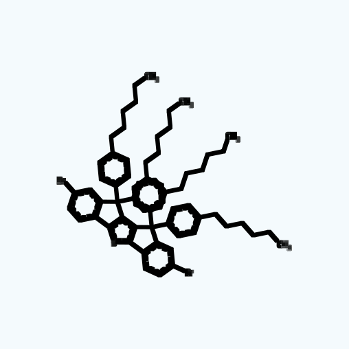 CCCCCCc1ccc(C2(c3ccc(CCCCCC)cc3)c3cc(Br)ccc3-c3sc4c(c32)C(c2ccc(CCCCCC)cc2)(c2ccc(CCCCCC)cc2)c2cc(Br)ccc2-4)cc1